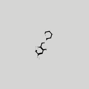 Fc1cc(Br)cnc1COC1CCCCO1